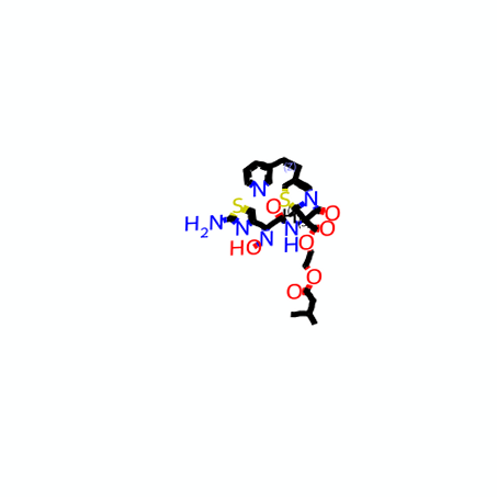 CC(C)CC(=O)OCCOC(=O)[C@@]1(NC(=O)C(=NO)c2csc(N)n2)C(=O)N2C=C(/C=C\c3cccnc3)CS[C@H]21